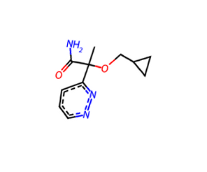 CC(OCC1CC1)(C(N)=O)c1cccnn1